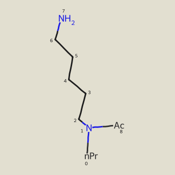 CCCN(CCCCCN)C(C)=O